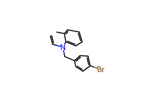 C=CN(Cc1ccc(Br)cc1)c1ccccc1C